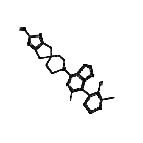 Cc1nccc(-c2c(C)nc(N3CCC4(CC3)Cc3nc(O)sc3C4)c3ccnn23)c1Cl